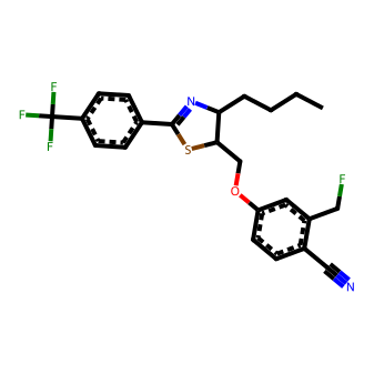 CCCCC1N=C(c2ccc(C(F)(F)F)cc2)SC1COc1ccc(C#N)c(CF)c1